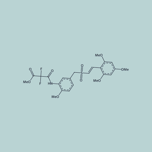 COC(=O)C(F)(F)C(=O)Nc1cc(CS(=O)(=O)/C=C/c2c(OC)cc(OC)cc2OC)ccc1OC